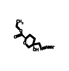 CCOC(=O)[C@H]1CC[C@@](O)(CN=[N+]=[N-])CO1